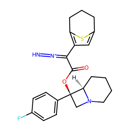 N=[N+]=C(C(=O)O[C@]1(c2ccc(F)cc2)CN2CCCC[C@@H]21)c1cc2sc1CCC2